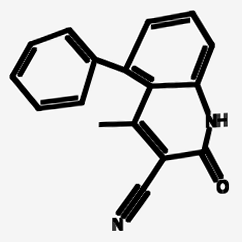 Cc1c(C#N)c(=O)[nH]c2cccc(-c3ccccc3)c12